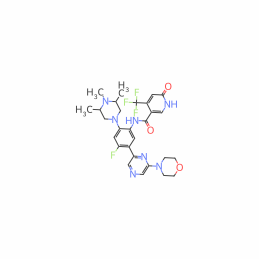 CC1CN(c2cc(F)c(-c3cncc(N4CCOCC4)n3)cc2NC(=O)c2c[nH]c(=O)cc2C(F)(F)F)CC(C)N1C